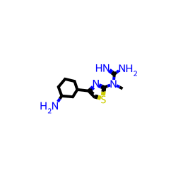 CN(C(=N)N)c1nc(C2CCCC(N)C2)cs1